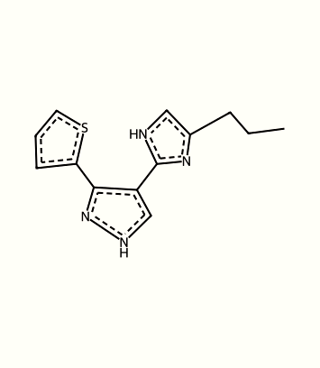 CCCc1c[nH]c(-c2c[nH]nc2-c2cccs2)n1